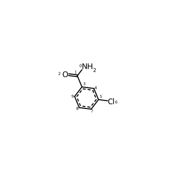 NC(=O)c1[c]c(Cl)ccc1